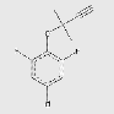 C#CC(C)(C)Oc1c(F)cc(Cl)cc1F